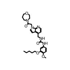 CCCCCOc1cc(NC(=O)NCc2ccnc3c2ccn3CC(=O)N2CCCOCC2)ccc1OC